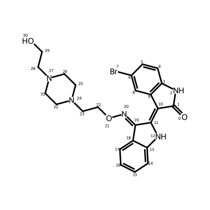 O=C1Nc2ccc(Br)cc2/C1=C1/Nc2ccccc2/C1=N\OCCN1CCN(CCO)CC1